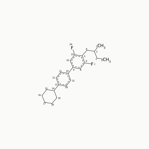 CCC(C)Cc1c(F)cc(-c2ccc(C3CCCCC3)cc2)cc1F